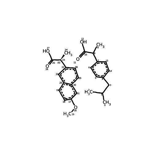 CC(C)Cc1ccc(C(C)C(=O)O)cc1.COc1ccc2cc([C@H](C)C(=O)O)ccc2c1